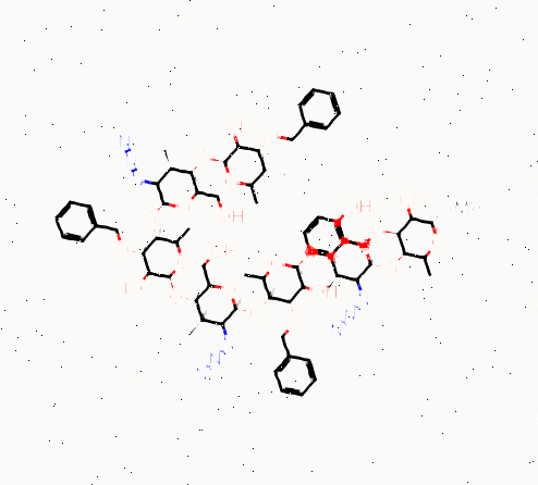 CO[C@@H]1OC(C)[C@@H](O[C@H]2OC(CO)[C@H](O[C@@H]3OC(C)[C@@H](O[C@H]4OC(CO)[C@@H](O[C@@H]5OC(C)[C@@H](O[C@@H]6OC(CO)[C@H](O[C@@H]7OC(C)[C@@H](C)[C@@H](OCc8ccccc8)C7O)[C@H](C)C6N=[N+]=[N-])[C@@H](OCc6ccccc6)C5O)[C@H](C)C4N=[N+]=[N-])[C@@H](OCc4ccccc4)C3O)[C@H](C)C2N=[N+]=[N-])[C@@H](OCc2ccccc2)C1O